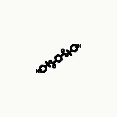 CC(C)(OC(=O)C1CCC(C(=O)OC(C)(C)C2CCNCC2)CC1)C1CCNCC1